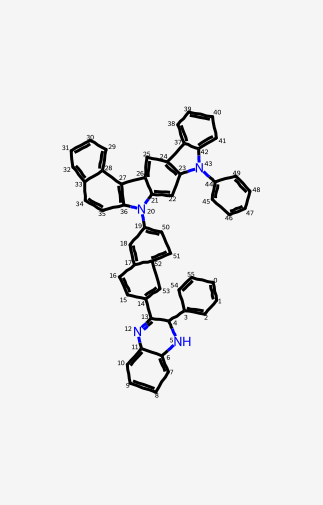 c1ccc(C2Nc3ccccc3N=C2c2ccc3cc(-n4c5cc6c(cc5c5c7ccccc7ccc54)c4ccccc4n6-c4ccccc4)ccc3c2)cc1